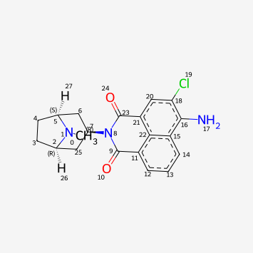 CN1[C@@H]2CC[C@H]1C[C@@H](N1C(=O)c3cccc4c(N)c(Cl)cc(c34)C1=O)C2